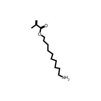 C=C(C)C(=O)OCCCCCCCCCCN